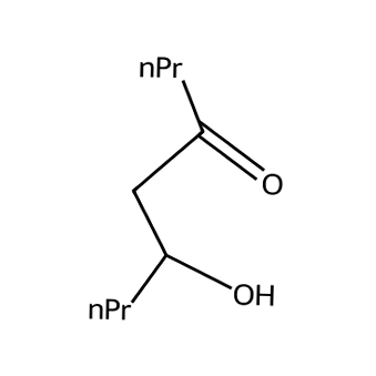 CCCC(=O)CC(O)CCC